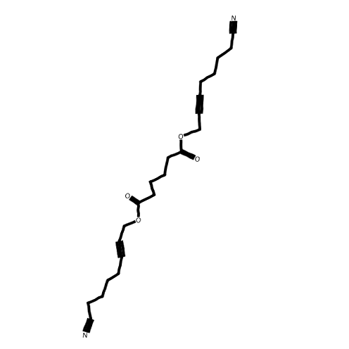 N#CCCCCC#CCOC(=O)CCCCC(=O)OCC#CCCCCC#N